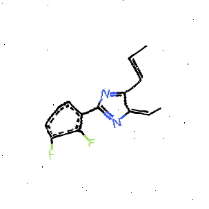 CC=CC1=NC(c2cccc(F)c2F)=N/C1=C/C